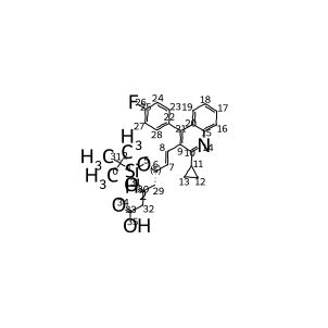 CC(C)(C)[SiH2]O[C@H](C=Cc1c(C2CC2)nc2ccccc2c1-c1ccc(F)cc1)CC(=O)CC(=O)O